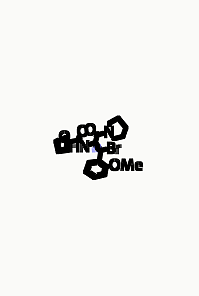 COc1ccccc1/C(Br)=C(\NC(=O)c1ccco1)C(=O)N1CCCCC1